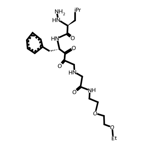 CCOCCOCCNC(=O)CNCC(=O)C(=O)[C@H](Cc1ccccc1)NC(=O)[C@H](CC(C)C)NN